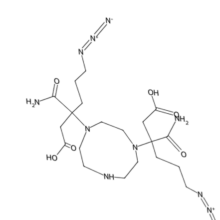 [N-]=[N+]=NCCCC(CC(=O)O)(C(N)=O)N1CCNCCN(C(CCCN=[N+]=[N-])(CC(=O)O)C(N)=O)CC1